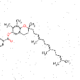 CC(C)=CCC/C(C)=C/CC/C(C)=C/CC[C@]1(C)CCc2cc(OC(=O)c3ccccc3)c(C)c(C)c2O1